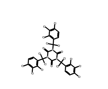 O=c1n(C(Cl)(Cl)c2ccc(Cl)c(Cl)c2Cl)c(=O)n(C(Cl)(Cl)c2ccc(Cl)c(Cl)c2Cl)c(=O)n1C(Cl)(Cl)c1ccc(Cl)c(Cl)c1Cl